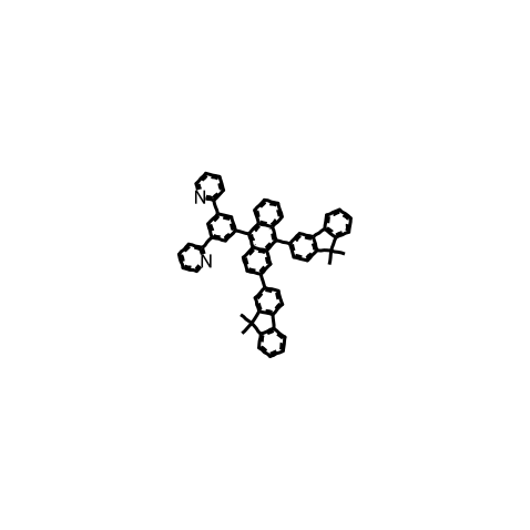 CC1(C)c2ccccc2-c2cc(-c3c4ccccc4c(-c4cc(-c5ccccn5)cc(-c5ccccn5)c4)c4ccc(-c5ccc6c(c5)C(C)(C)c5ccccc5-6)cc34)ccc21